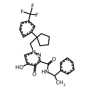 CC(NC(=O)c1nn(CC2(c3cccc(C(F)(F)F)c3)CCCC2)cc(O)c1=O)c1ccccc1